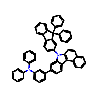 c1ccc(N(c2ccccc2)c2cccc(-c3ccc4c5c6ccccc6ccc5n(-c5ccc6c(c5)C(c5ccccc5)(c5ccccc5)c5ccccc5-6)c4c3)c2)cc1